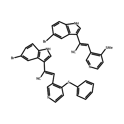 CSc1ccncc1/C=C(\C#N)c1c[nH]c2ccc(Br)cc12.N#C/C(=C\c1cnccc1Sc1ccccc1)c1c[nH]c2ccc(Br)cc12